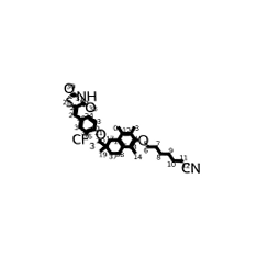 Cc1c(C)c(OCCCCCCC#N)c(C)c2c1CC(C)(COc1ccc(C=C3SC(=O)NC3=O)cc1C(F)(F)F)CC2